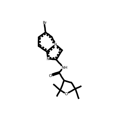 CC1(C)CC(C(=O)Nc2cn3cc(Br)ccc3n2)C(C)(C)O1